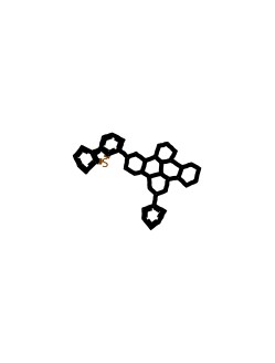 c1ccc(C2CC3C4CCCCC4C4CCCC5C6CC(c7cccc8c7sc7ccccc78)CCC6C(C2)C3C45)cc1